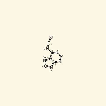 S=C=Nc1cccc2nonc12